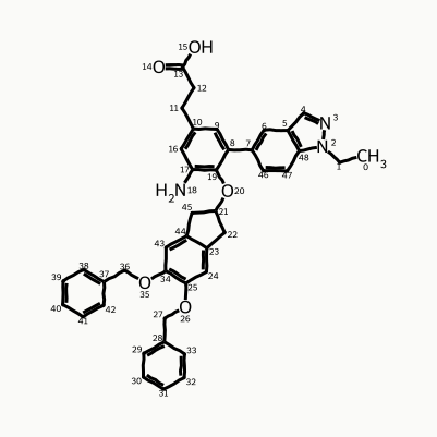 CCn1ncc2cc(-c3cc(CCC(=O)O)cc(N)c3OC3Cc4cc(OCc5ccccc5)c(OCc5ccccc5)cc4C3)ccc21